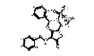 O=C1O[C@@H]([C@@H](CO)OP(=O)(O)O)C(OCc2ccccc2)=C1OCc1ccccc1